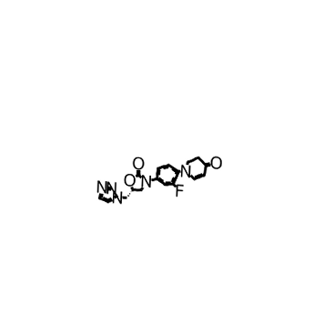 O=C1C=CN(c2ccc(N3C[C@H](Cn4ccnn4)OC3=O)cc2F)CC1